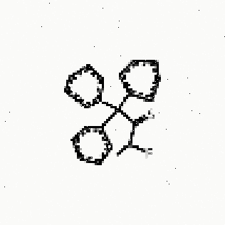 CC(F)C(=S)C(c1ccccc1)(c1ccccc1)c1ccccc1